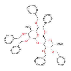 CO[C@H]1O[C@H](COCc2ccccc2)[C@@H](O[C@H]2O[C@H](COCc3ccccc3)[C@H](OC(C)=O)[C@H](OCc3ccccc3)[C@H]2OCc2ccccc2)[C@H](OCc2ccccc2)[C@H]1OCc1ccccc1